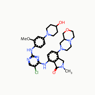 COc1cc(N2CCC(O)CC2)ccc1Nc1ncc(Cl)c(Nc2ccc(N3CCN4CCOCC4C3)c3c2C(=O)N(C)C3)n1